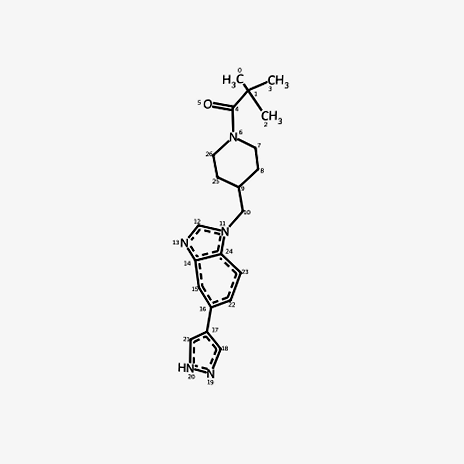 CC(C)(C)C(=O)N1CCC(Cn2cnc3cc(-c4cn[nH]c4)ccc32)CC1